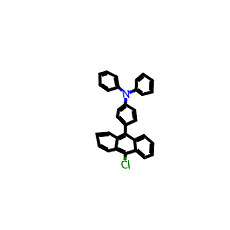 Clc1c2ccccc2c(-c2ccc(N(c3ccccc3)c3ccccc3)cc2)c2ccccc12